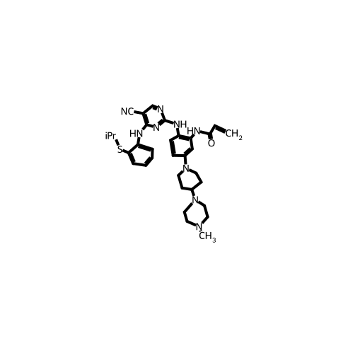 C=CC(=O)Nc1cc(N2CCC(N3CCN(C)CC3)CC2)ccc1Nc1ncc(C#N)c(Nc2ccccc2SC(C)C)n1